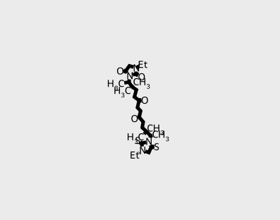 CCN1CC(=O)N(C(C)C(C)(C)CCC(=O)CCC(=O)CCC(C)(C)C(C)N2C(=S)CN(CC)C2=S)C1=O